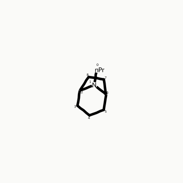 CCCN1C2CCCC1CC2